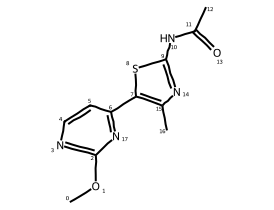 COc1nccc(-c2sc(NC(C)=O)nc2C)n1